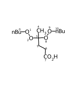 CCCCOOC(C)(CCC(=O)O)OOCCCC